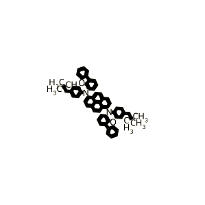 CC(C)(C)CC1=CC=C(N(c2ccc3ccc4c(N(c5ccc(CC(C)(C)C)cc5)c5cccc6c5oc5ccccc56)ccc5ccc2c3c54)c2cccc3c2oc2ccccc23)CC1